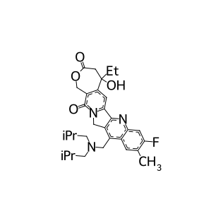 CCC1(O)CC(=O)OCc2c1cc1n(c2=O)Cc2c-1nc1cc(F)c(C)cc1c2CN(CC(C)C)CC(C)C